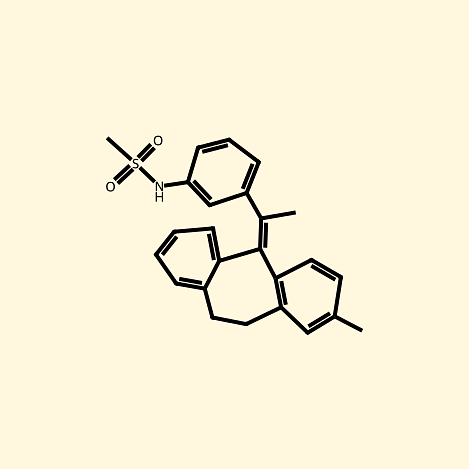 C/C(=C1/c2ccccc2CCc2cc(C)ccc21)c1cccc(NS(C)(=O)=O)c1